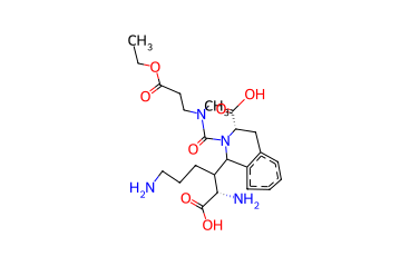 CCOC(=O)CCN(C)C(=O)N1C(C(CCCN)[C@H](N)C(=O)O)c2ccccc2C[C@H]1C(=O)O